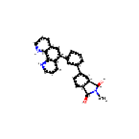 CN1C(=O)c2ccc(-c3cccc(-c4cc5cccnc5c5ncccc45)c3)cc2C1=O